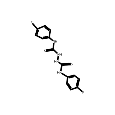 Fc1ccc(NC(=S)NNC(=S)Nc2ccc(F)cc2)cc1